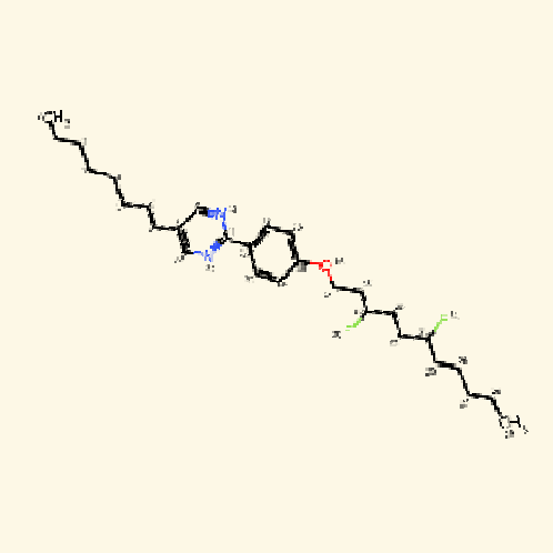 CCCCCCCCc1cnc(-c2ccc(OCCC(F)CCC(F)CCCCC)cc2)nc1